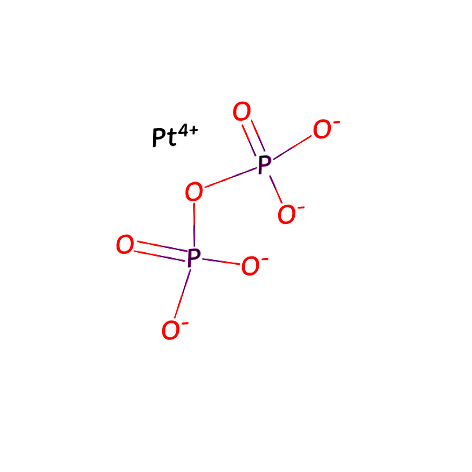 O=P([O-])([O-])OP(=O)([O-])[O-].[Pt+4]